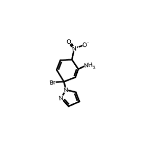 NC1=CC(Br)(n2cccn2)C=CC1[N+](=O)[O-]